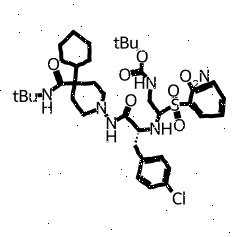 CC(C)(C)NC(=O)C1(C2CCCCC2)CCN(NC(=O)[C@@H](Cc2ccc(Cl)cc2)NC(CNC(=O)OC(C)(C)C)S(=O)(=O)c2ccccc2[N+](=O)[O-])CC1